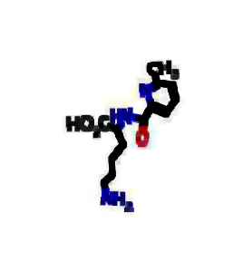 Cc1cccc(C(=O)N[C@@H](CCCCN)C(=O)O)n1